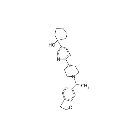 CC(c1ccc2c(c1)OCC2)N1CCN(c2ncc(C3(O)CCCCC3)cn2)CC1